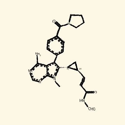 Cn1c([C@@H]2C[C@H]2C=CC(=O)NC=O)c(-c2ccc(C(=O)N3CCCC3)cc2)c2c(N)ncnc21